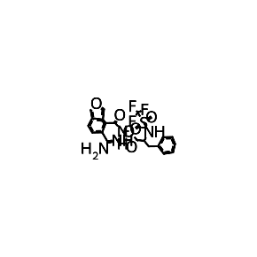 N=C(N)c1ccc2cocc2c1C(=O)NOC(=O)C(Cc1ccccc1)NS(=O)(=O)C(F)(F)F